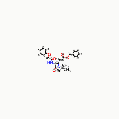 CC(C)(C)[Si](C)(C)N1C(=O)[C@@H](NC(=O)COc2ccccc2)C1C=CC(=O)OCc1ccccc1